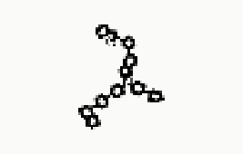 c1ccc(-c2ccc(N(c3ccc(-c4ccc(-c5cccc6ccccc56)cc4)cc3)c3ccc4cc(-c5cccc(-c6cc7ccccc7o6)c5)ccc4c3)cc2)cc1